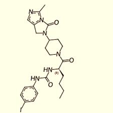 CCCC[C@@H](NC(=O)Nc1ccc(I)cc1)C(=O)N1CCC(N2Cc3cnc(C)n3C2=O)CC1